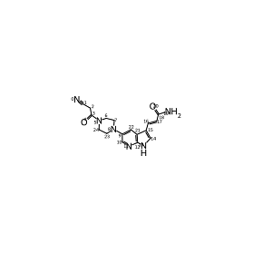 N#CCC(=O)N1CCN(c2cnc3[nH]cc(C=CC(N)=O)c3c2)CC1